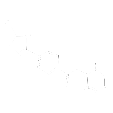 O=C(Cn1ncccc1=O)c1ccc(-c2noc(C(F)(F)F)n2)cc1